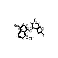 Cc1cc2c(o1)CN(C)CC2Oc1ccc(Br)c2ccccc12.Cl